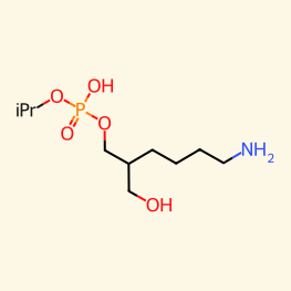 CC(C)OP(=O)(O)OCC(CO)CCCCN